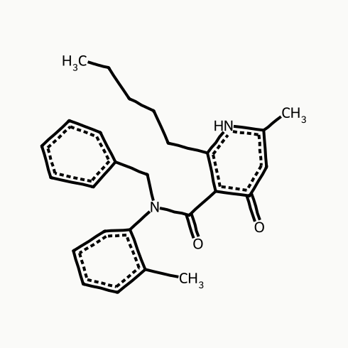 CCCCCc1[nH]c(C)cc(=O)c1C(=O)N(Cc1ccccc1)c1ccccc1C